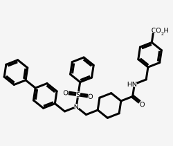 O=C(O)c1ccc(CNC(=O)C2CCC(CN(Cc3ccc(-c4ccccc4)cc3)S(=O)(=O)c3ccccc3)CC2)cc1